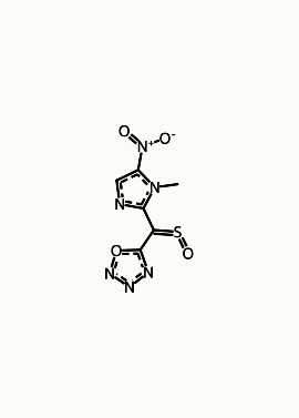 Cn1c([N+](=O)[O-])cnc1C(=S=O)c1nnno1